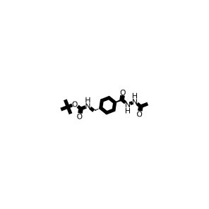 CC(=O)NNC(=O)[C@H]1CC[C@H](CNC(=O)OC(C)(C)C)CC1